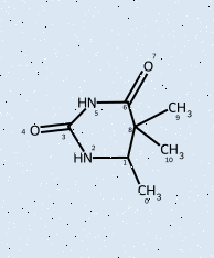 CC1NC(=O)NC(=O)C1(C)C